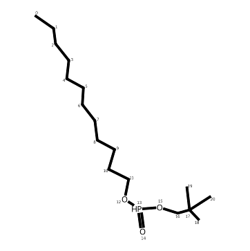 CCCCCCCCCCCCO[PH](=O)OCC(C)(C)C